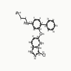 CC(C)CCNc1ccc(-c2ccccc2)c(Oc2ccc3nnc(Cl)n3n2)c1